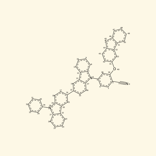 N#Cc1ccc(-n2c3ccccc3c3cc(-c4ccc5c(c4)c4ccccc4n5-c4ccccc4)ccc32)cc1Oc1ccc2sc3ccccc3c2c1